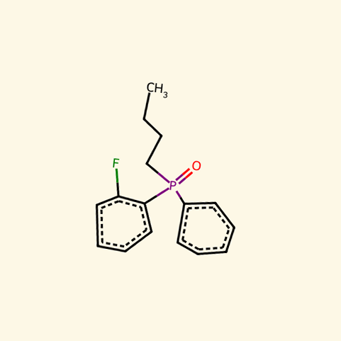 CCCCP(=O)(c1ccccc1)c1ccccc1F